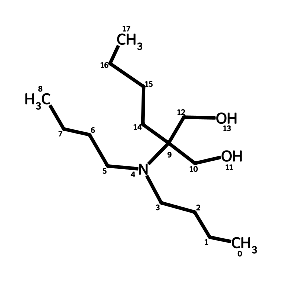 CCCCN(CCCC)C(CO)(CO)CCCC